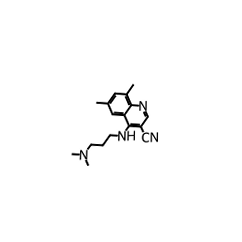 Cc1cc(C)c2ncc(C#N)c(NCCCN(C)C)c2c1